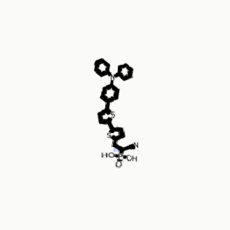 N#C/C(=C\c1ccc(-c2ccc(-c3ccc(N(c4cc#ccc4)c4ccccc4)cc3)s2)s1)P(=O)(O)O